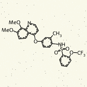 COc1ccc2c(Oc3ccc(NS(=O)(=O)c4ccccc4OC(F)(F)F)c(C)c3)ccnc2c1OC